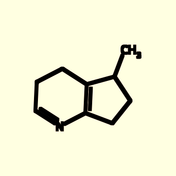 CC1CCC2=C1CCC=N2